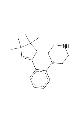 CC1(C)C=C(c2ccccc2N2CCNCC2)CC1(C)C